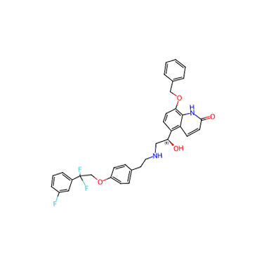 O=c1ccc2c([C@@H](O)CNCCc3ccc(OCC(F)(F)c4cccc(F)c4)cc3)ccc(OCc3ccccc3)c2[nH]1